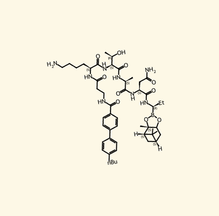 CCCCc1ccc(-c2ccc(C(=O)NCCC(=O)N[C@@H](CCCCN)C(=O)N[C@H](C(=O)N[C@@H](C)C(=O)N[C@@H](CC(N)=O)C(=O)N[C@@H](CC)B3OC4C[C@@H]5C[C@@H](C5(C)C)[C@]4(C)O3)[C@@H](C)O)cc2)cc1